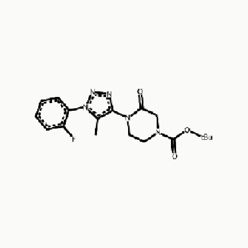 Cc1c(N2CCN(C(=O)OC(C)(C)C)CC2=O)nnn1-c1ccccc1F